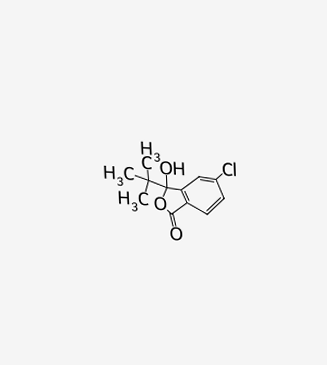 CC(C)(C)C1(O)OC(=O)c2ccc(Cl)cc21